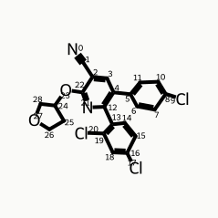 N#Cc1cc(-c2ccc(Cl)cc2)c(-c2ccc(Cl)cc2Cl)nc1OC1CCOC1